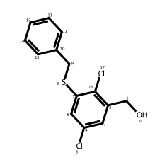 OCc1cc(Cl)cc(SCc2ccccc2)c1Cl